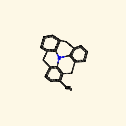 Cc1ccc2c3c1Cc1cccc4c1N3c1c(cccc1C2)C4